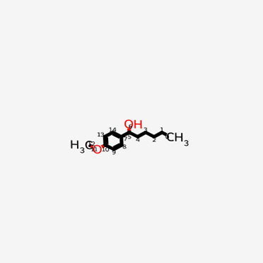 CCCCCC(O)c1ccc(OC)cc1